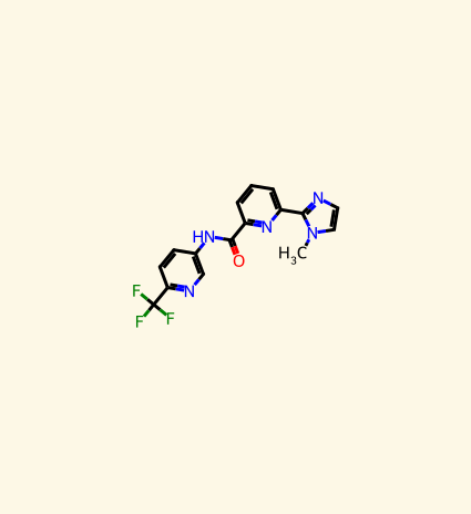 Cn1ccnc1-c1cccc(C(=O)Nc2ccc(C(F)(F)F)nc2)n1